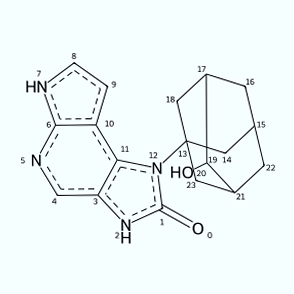 O=c1[nH]c2cnc3[nH]ccc3c2n1C12CC3CC(C1)C(O)C(C3)C2